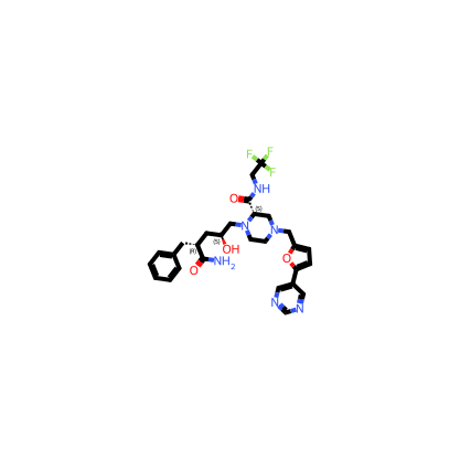 NC(=O)[C@H](Cc1ccccc1)C[C@H](O)CN1CCN(Cc2ccc(-c3cncnc3)o2)C[C@H]1C(=O)NCC(F)(F)F